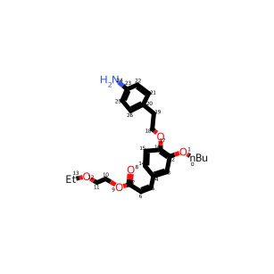 CCCCOc1cc(/C=C\C(=O)OCCOCC)ccc1OCCc1ccc(N)cc1